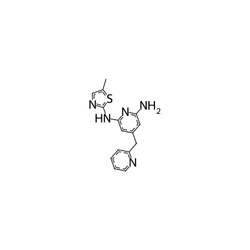 Cc1cnc(Nc2cc(Cc3ccccn3)cc(N)n2)s1